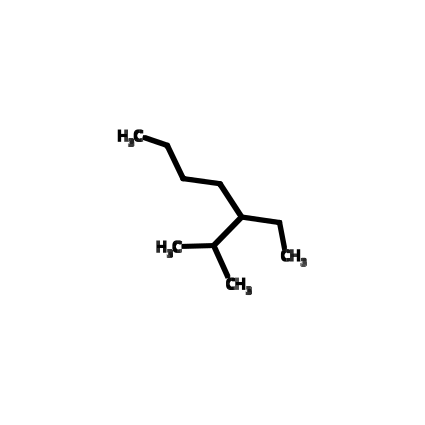 CCCCC(CC)C(C)C